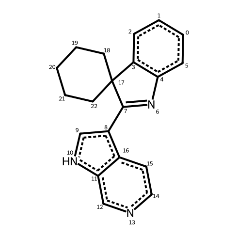 c1ccc2c(c1)N=C(c1c[nH]c3cnccc13)C21CCCCC1